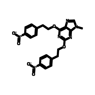 Cn1cnc2c(OCCc3ccc([N+](=O)[O-])cc3)nc(OCCc3ccc([N+](=O)[O-])cc3)nc21